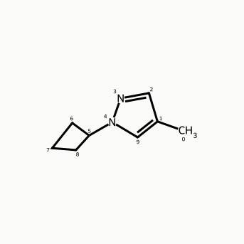 Cc1cnn(C2CCC2)c1